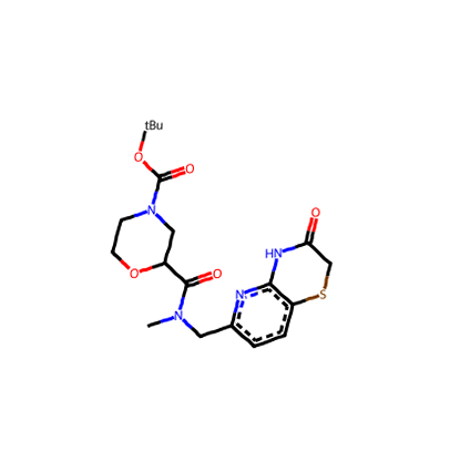 CN(Cc1ccc2c(n1)NC(=O)CS2)C(=O)C1CN(C(=O)OC(C)(C)C)CCO1